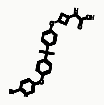 CC(C)(c1ccc(Oc2ccc(Br)nc2)cc1)c1ccc(O[C@H]2C[C@H](NC(=O)O)C2)cc1